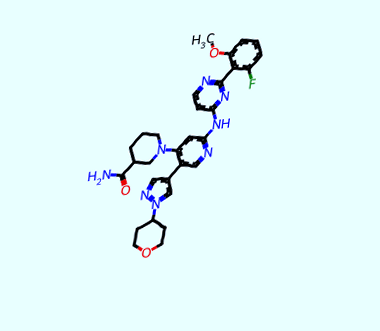 COc1cccc(F)c1-c1nccc(Nc2cc(N3CCCC(C(N)=O)C3)c(-c3cnn(C4CCOCC4)c3)cn2)n1